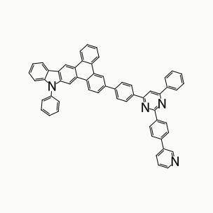 c1ccc(-c2cc(-c3ccc(-c4ccc5c(c4)c4ccccc4c4cc6c7ccccc7n(-c7ccccc7)c6cc54)cc3)nc(-c3ccc(-c4cccnc4)cc3)n2)cc1